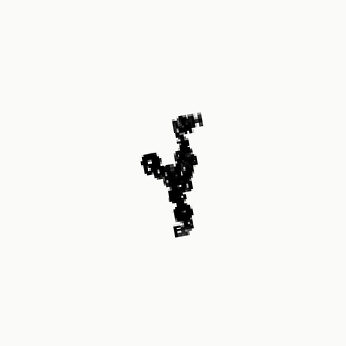 CCOc1ccc(-c2ccc(S(=O)(=O)N3CCN(S(=O)(=O)CCCSc4nc[nH]n4)C[C@@H]3C(=O)NOC3CCCCO3)s2)cc1